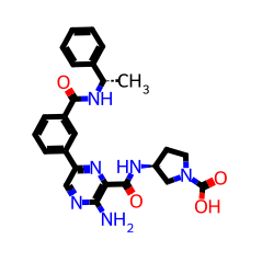 C[C@H](NC(=O)c1cccc(-c2cnc(N)c(C(=O)N[C@H]3CCN(C(=O)O)C3)n2)c1)c1ccccc1